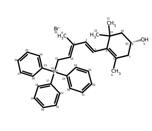 CC(C=CC1=C(C)C[C@@H](O)CC1(C)C)=CC[P+](c1ccccc1)(c1ccccc1)c1ccccc1.[Br-]